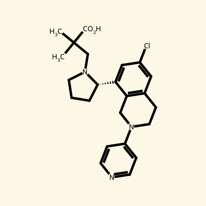 CC(C)(CN1CCC[C@H]1c1cc(Cl)cc2c1CN(c1ccncc1)CC2)C(=O)O